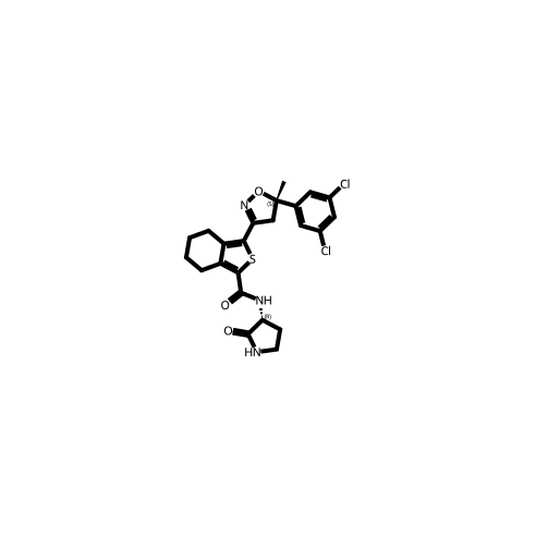 C[C@@]1(c2cc(Cl)cc(Cl)c2)CC(c2sc(C(=O)N[C@@H]3CCNC3=O)c3c2CCCC3)=NO1